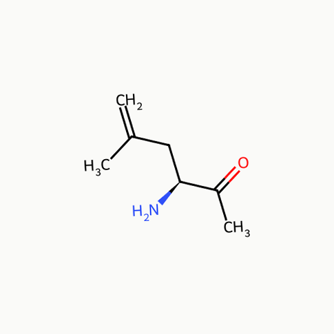 C=C(C)C[C@H](N)C(C)=O